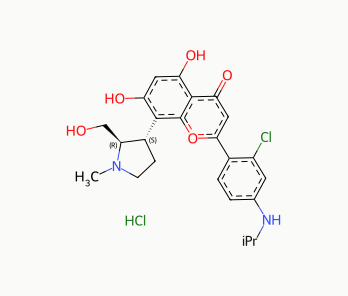 CC(C)Nc1ccc(-c2cc(=O)c3c(O)cc(O)c([C@@H]4CCN(C)[C@H]4CO)c3o2)c(Cl)c1.Cl